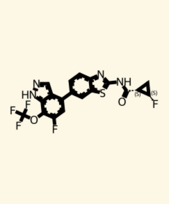 O=C(Nc1nc2ccc(-c3cc(F)c(OC(F)(F)F)c4[nH]ncc34)cc2s1)[C@@H]1C[C@@H]1F